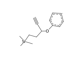 C#CC(CC[Si](C)(C)C)Oc1cc[c]cc1